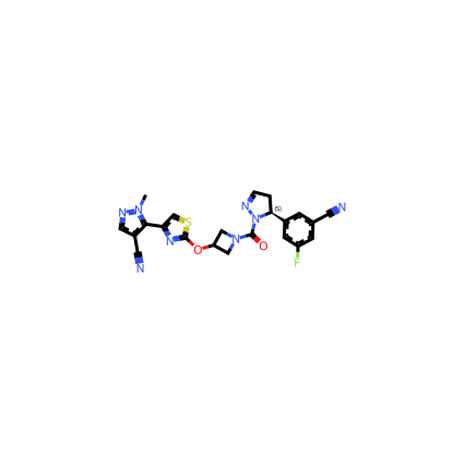 Cn1ncc(C#N)c1-c1csc(OC2CN(C(=O)N3N=CC[C@H]3c3cc(F)cc(C#N)c3)C2)n1